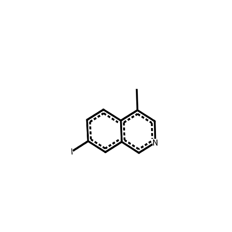 Cc1cncc2cc(I)ccc12